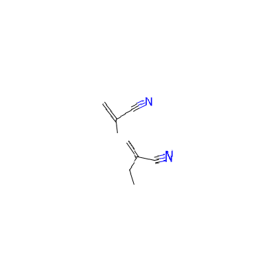 C=C(C#N)CC.C=C(C)C#N